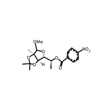 COC1O[C@H]([C@H](C)OC(=O)c2ccc([N+](=O)[O-])cc2)[C@H]2OC(C)(C)O[C@@]12C